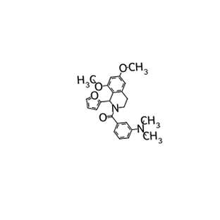 COc1cc2c(c(OC)c1)C(c1ccco1)N(C(=O)c1cccc(N(C)C)c1)CC2